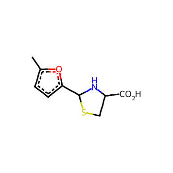 Cc1ccc(C2NC(C(=O)O)CS2)o1